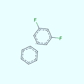 Fc1c[c]cc(F)c1.c1ccccc1